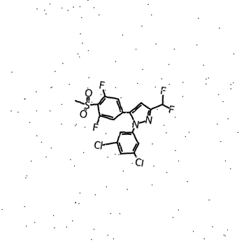 CS(=O)(=O)c1c(F)cc(-c2cc(C(F)F)nn2-c2cc(Cl)cc(Cl)c2)cc1F